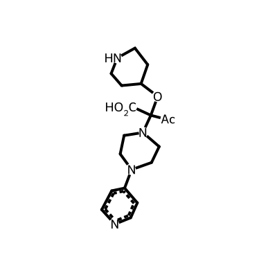 CC(=O)C(OC1CCNCC1)(C(=O)O)N1CCN(c2ccncc2)CC1